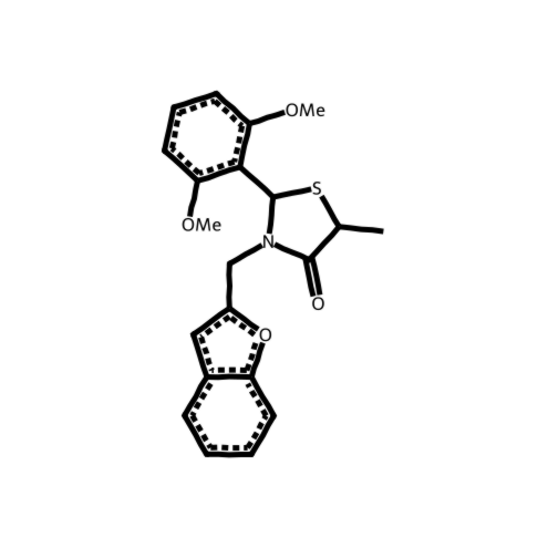 COc1cccc(OC)c1C1SC(C)C(=O)N1Cc1cc2ccccc2o1